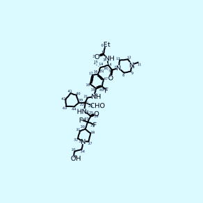 CCC(=O)N[C@@H](C(=O)N1CCN(C)CC1)[C@@H](C)c1ccc(NC[C@](C=O)(NC(=O)C(F)(F)C2CCN(CCO)CC2)C2CCCCC2)c(F)c1